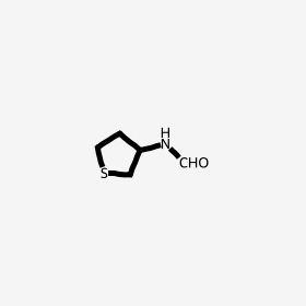 O=CNC1CCSC1